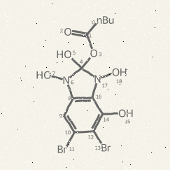 CCCCC(=O)OC1(O)N(O)c2cc(Br)c(Br)c(O)c2N1O